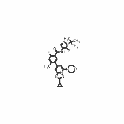 Cc1cc(F)c(C(=O)Nc2cnn(C(C)(C)C)c2F)cc1-c1cc(N2CCOCC2)n2nc(C3CC3)nc2c1